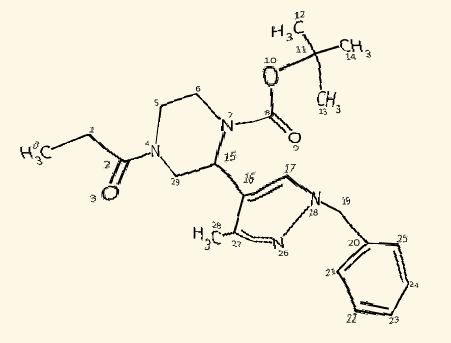 CCC(=O)N1CCN(C(=O)OC(C)(C)C)C(c2cn(Cc3ccccc3)nc2C)C1